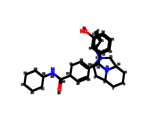 C=CCN1CCC2CCCC(C1)N2C(C1=CCC(C(=O)NC2CCCCC2)C=C1)c1cccc(O)c1